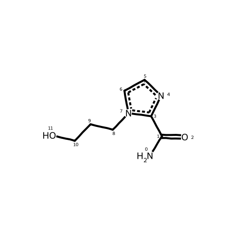 NC(=O)c1n[c]cn1CCCO